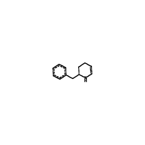 C1=CNC(Cc2ccccc2)CC1